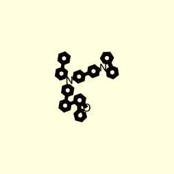 c1ccc(-c2cccc(N(c3ccc(-c4ccc(-n5c6ccccc6c6ccccc65)cc4)cc3)c3ccc(-c4ccccc4-c4cccc5oc6ccccc6c45)cc3)c2)cc1